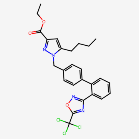 CCCCc1cc(C(=O)OCC)nn1Cc1ccc(-c2ccccc2-c2noc(C(Cl)(Cl)Cl)n2)cc1